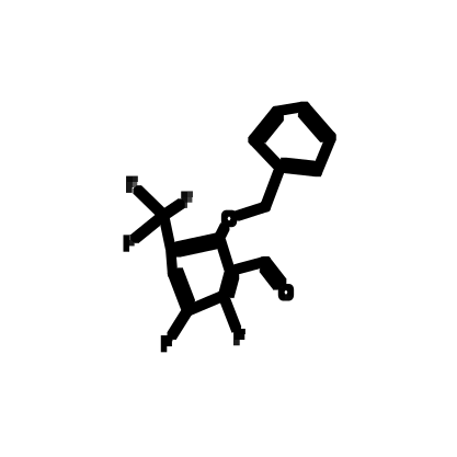 O=Cc1c(F)c(F)cc(C(F)(F)F)c1OCc1ccccc1